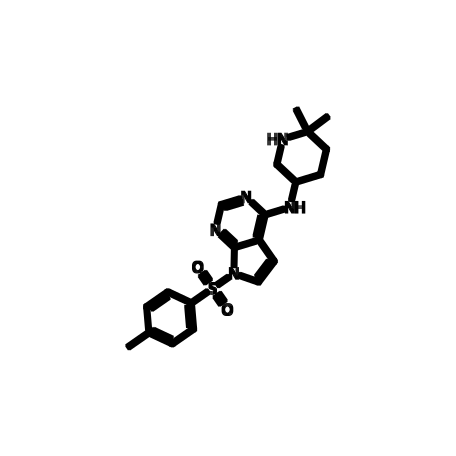 Cc1ccc(S(=O)(=O)n2ccc3c(NC4CCC(C)(C)NC4)ncnc32)cc1